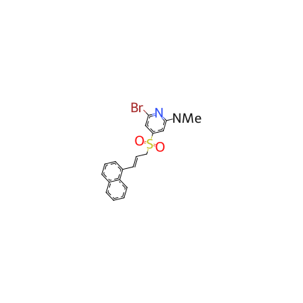 CNc1cc(S(=O)(=O)CC=Cc2cccc3ccccc23)cc(Br)n1